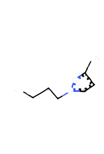 CCCCCCCCn1ccc(C#N)n1